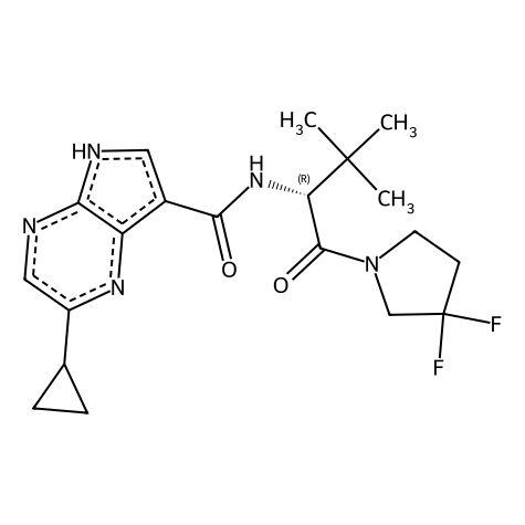 CC(C)(C)[C@@H](NC(=O)c1c[nH]c2ncc(C3CC3)nc12)C(=O)N1CCC(F)(F)C1